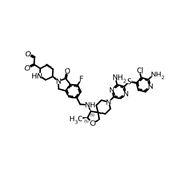 C[C@@H]1OCC2(CCN(c3cnc(Sc4ccnc(N)c4Cl)c(N)n3)CC2)[C@@H]1NCc1cc(F)c2c(c1)CN(C1CCC(C(=O)C=O)NC1)C2=O